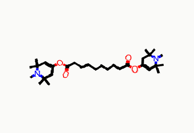 CN1C(C)(C)C=C(OC(=O)CCCCCCCCC(=O)OC2=CC(C)(C)N(C)C(C)(C)C2)CC1(C)C